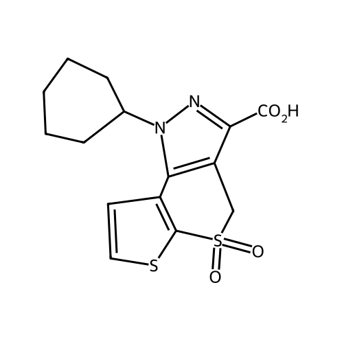 O=C(O)c1nn(C2CCCCC2)c2c1CS(=O)(=O)c1sccc1-2